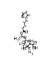 CC(OC(=O)CCCCC1CCSS1)OC(=O)N[C@@H](C(=O)O)C(C)(C)S